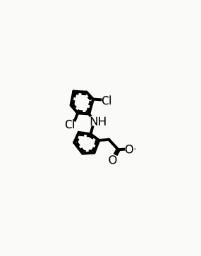 [O]C(=O)Cc1ccccc1Nc1c(Cl)cccc1Cl